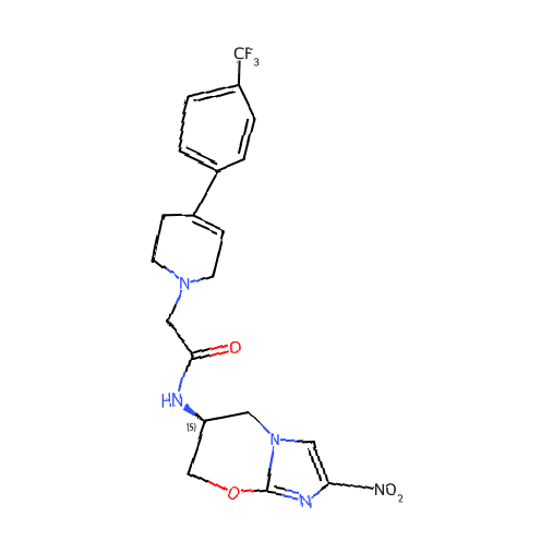 O=C(CN1CC=C(c2ccc(C(F)(F)F)cc2)CC1)N[C@@H]1COc2nc([N+](=O)[O-])cn2C1